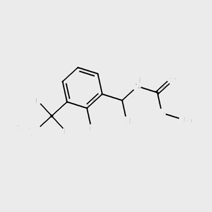 CCOC(=O)C(F)(F)c1cccc(C(C)NC(=O)OC(C)(C)C)c1F